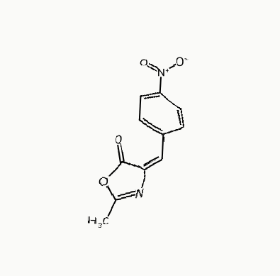 CC1=N/C(=C/c2ccc([N+](=O)[O-])cc2)C(=O)O1